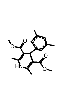 COC(=O)C1=C(C)NC(C)=C(C(=O)OC)C1c1cc(C)cc(C)c1